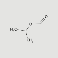 C[C](C)OC=O